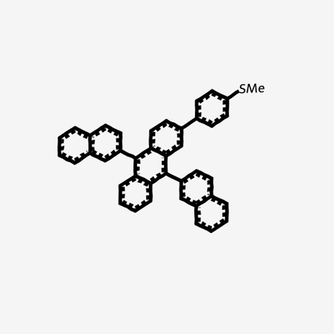 CSc1ccc(-c2ccc3c(-c4ccc5ccccc5c4)c4ccccc4c(-c4ccc5ccccc5c4)c3c2)cc1